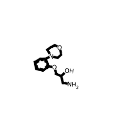 NCC(O)COc1ccccc1N1CCOCC1